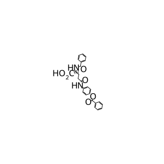 O=C(CC[C@H](NC(=O)c1ccccc1)C(=O)O)Nc1ccc(OC(=O)c2ccccc2)cc1